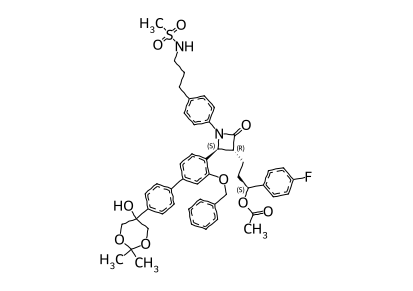 CC(=O)O[C@@H](CC[C@H]1C(=O)N(c2ccc(CCCNS(C)(=O)=O)cc2)[C@@H]1c1ccc(-c2ccc(C3(O)COC(C)(C)OC3)cc2)cc1OCc1ccccc1)c1ccc(F)cc1